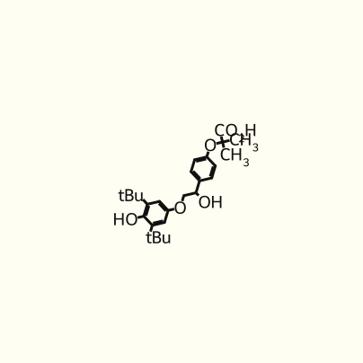 CC(C)(Oc1ccc(C(O)COc2cc(C(C)(C)C)c(O)c(C(C)(C)C)c2)cc1)C(=O)O